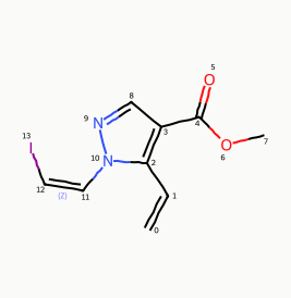 C=Cc1c(C(=O)OC)cnn1/C=C\I